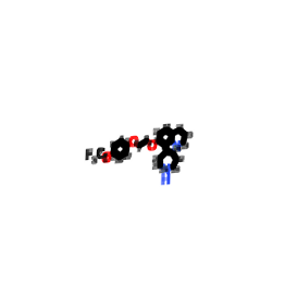 FC(F)(F)Oc1ccc(OCCOc2ccc3c4c2c2c(n4CCC3)CCNCC2)cc1